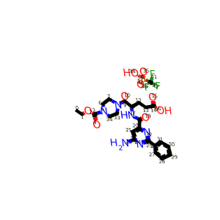 CCOC(=O)N1CCN(C(=O)C(CCC(=O)O)NC(=O)c2cc(N)nc(-c3ccccc3)n2)CC1.O=S(=O)(O)C(F)(F)F